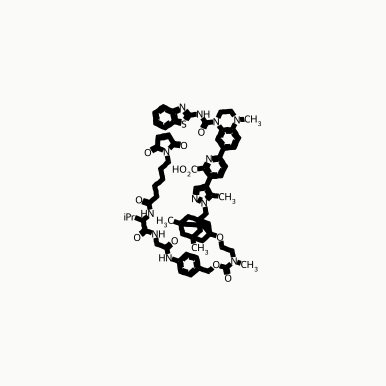 Cc1c(-c2ccc(-c3ccc4c(c3)N(C(=O)Nc3nc5ccccc5s3)CCN4C)nc2C(=O)O)cnn1CC12CC3(C)CC(C)(C1)CC(OCCN(C)C(=O)OCc1ccc(NC(=O)CNC(=O)C(NC(=O)CCCCCN4C(=O)C=CC4=O)C(C)C)cc1)(C3)C2